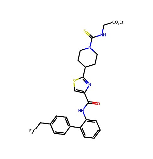 CCOC(=O)CNC(=S)N1CCC(c2nc(C(=O)Nc3ccccc3-c3ccc(CC(F)(F)F)cc3)cs2)CC1